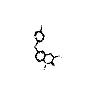 NC1Cc2cc(Oc3ncc(F)cn3)ccc2N(O)C1=O